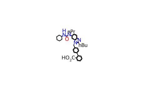 CCCCc1nc2ccc(N(CCC)C(=O)NC3CCCCC3)cc2n1Cc1ccc(-c2ccccc2C(=O)O)cc1